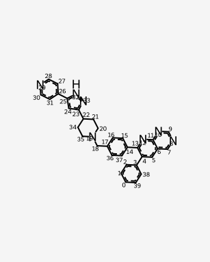 c1ccc(-c2cc3cncnc3nc2-c2ccc(CN3CCC(c4cc(-c5ccncc5)[nH]n4)CC3)cc2)cc1